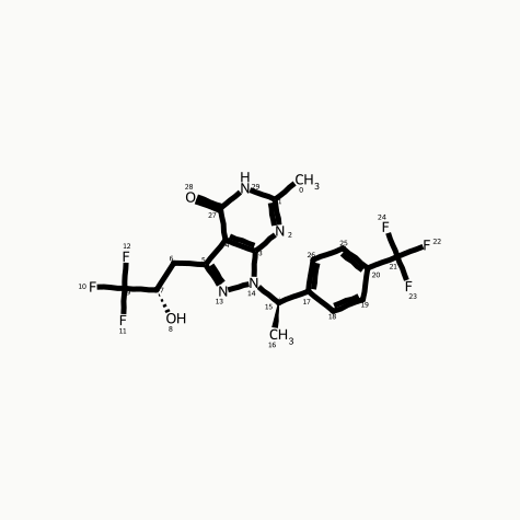 Cc1nc2c(c(C[C@H](O)C(F)(F)F)nn2[C@H](C)c2ccc(C(F)(F)F)cc2)c(=O)[nH]1